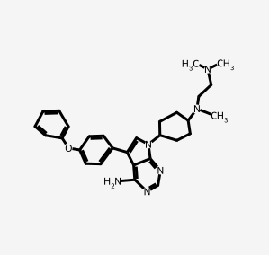 CN(C)CCN(C)C1CCC(n2cc(-c3ccc(Oc4ccccc4)cc3)c3c(N)ncnc32)CC1